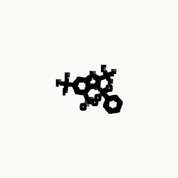 O=[N+]([O-])c1cc(C(F)(F)F)cc2nc(C(F)(F)F)n(S(=O)(=O)c3ccccc3)c12